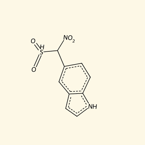 O=[N+]([O-])C(c1ccc2[nH]ccc2c1)[SH](=O)=O